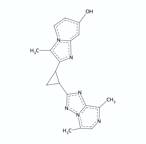 Cc1ncc(C)n2nc(C3CC3c3nc4cc(O)ccn4c3C)nc12